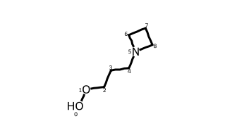 OOCCCN1CCC1